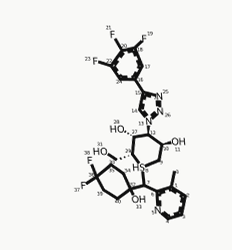 Cc1cccnc1C([SH]1C[C@H](O)[C@H](n2cc(-c3cc(F)c(F)c(F)c3)nn2)[C@@H](O)[C@H]1CO)C1(O)CCC(F)(F)CC1